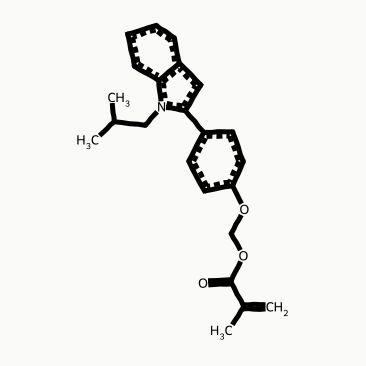 C=C(C)C(=O)OCOc1ccc(-c2cc3ccccc3n2CC(C)C)cc1